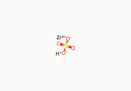 O=S(=O)([O-])[O-].[H+].[Zr+4]